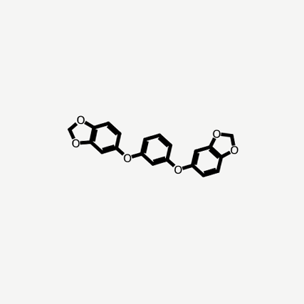 c1cc(Oc2ccc3c(c2)OCO3)cc(Oc2ccc3c(c2)OCO3)c1